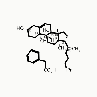 CC(C)CCC[C@@H](C)[C@H]1CC[C@H]2[C@@H]3CC=C4C[C@@H](O)CC[C@]4(C)[C@H]3CC[C@]12C.O=C(O)Cc1ccccc1